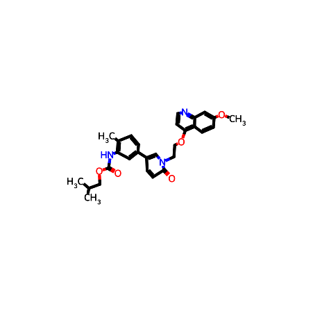 COc1ccc2c(OCCn3cc(-c4ccc(C)c(NC(=O)OCC(C)C)c4)ccc3=O)ccnc2c1